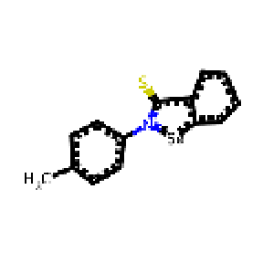 Cc1ccc(-n2[se]c3ccccc3c2=S)cc1